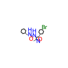 Cc1noc(-c2ccc(Br)cc2)c1NC(=O)NCc1ccccc1